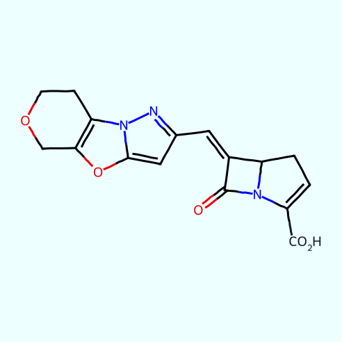 O=C(O)C1=CCC2C(=Cc3cc4oc5c(n4n3)CCOC5)C(=O)N12